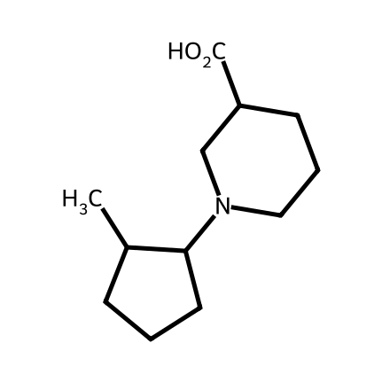 CC1CCCC1N1CCCC(C(=O)O)C1